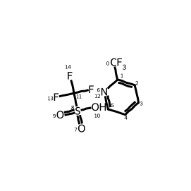 FC(F)(F)c1ccccn1.O=S(=O)(O)C(F)(F)F